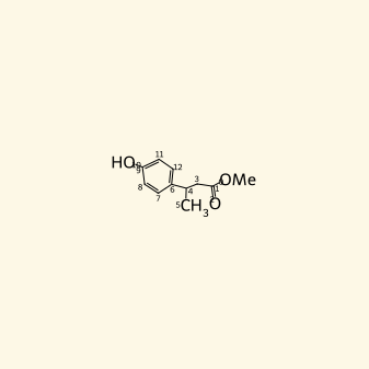 COC(=O)CC(C)c1ccc(O)cc1